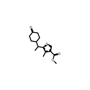 COC(=O)c1csc(C(C)C2CCC(=O)CC2)c1C